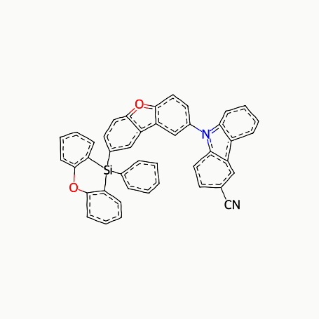 N#Cc1ccc2c(c1)c1ccccc1n2-c1ccc2oc3ccc([Si]4(c5ccccc5)c5ccccc5Oc5ccccc54)cc3c2c1